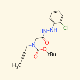 CC#CCN(CC(=O)NNc1ccccc1Cl)C(=O)OC(C)(C)C